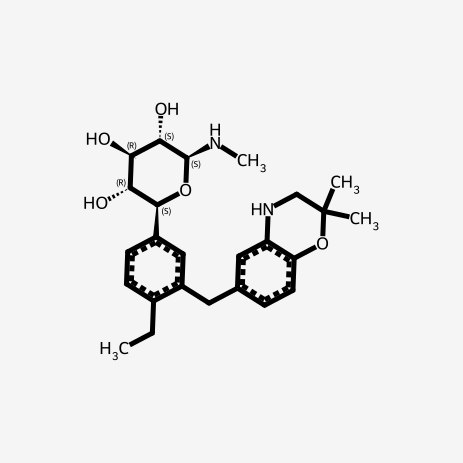 CCc1ccc([C@@H]2O[C@H](NC)[C@@H](O)[C@H](O)[C@H]2O)cc1Cc1ccc2c(c1)NCC(C)(C)O2